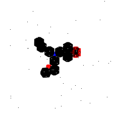 c1ccc(-c2ccccc2-c2c(-c3ccccc3)cccc2-c2ccc(N(c3ccc(-c4ccc5ccccc5c4)cc3)c3ccc(-c4cccc5c4oc4ccccc45)cc3)cc2)cc1